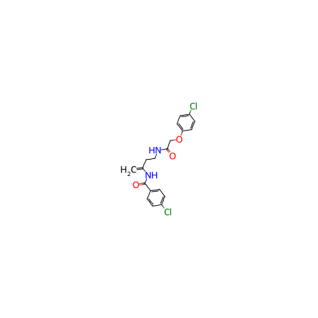 C=C(CCNC(=O)COc1ccc(Cl)cc1)NC(=O)c1ccc(Cl)cc1